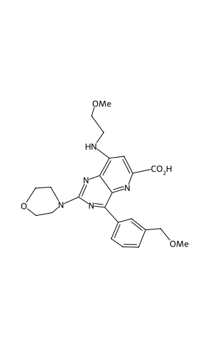 COCCNc1cc(C(=O)O)nc2c(-c3cccc(COC)c3)nc(N3CCOCC3)nc12